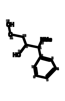 CNC(c1ccccc1)C(O)COO